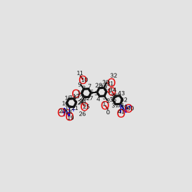 COCc1cc(-c2cc(COC)c(Oc3ccc([N+](=O)[O-])cc3)c(COC)c2)cc(COC)c1Oc1ccc([N+](=O)[O-])cc1